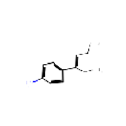 CCC=C(CC)c1ccc(N)cc1